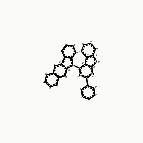 c1ccc(-c2nc(-n3c4ccccc4c4cc5ccccc5cc43)c3c(n2)sc2ccccc23)cc1